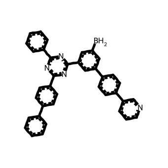 Bc1cc(-c2ccc(-c3cccnc3)cc2)cc(-c2nc(-c3ccccc3)nc(-c3ccc(-c4ccccc4)cc3)n2)c1